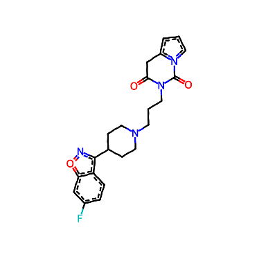 O=C1Cc2cccn2C(=O)N1CCCN1CCC(c2noc3cc(F)ccc23)CC1